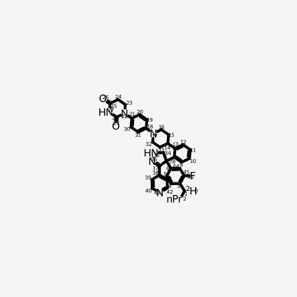 [2H]C(CCC)c1ccc(C2(c3ccccc3C3CCN(c4ccc(N5CCC(=O)NC5=O)cc4)CC3)CNN=C2c2ccncc2)cc1F